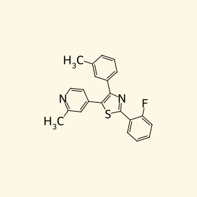 Cc1cccc(-c2nc(-c3ccccc3F)sc2-c2ccnc(C)c2)c1